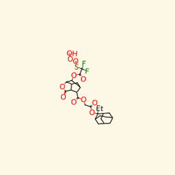 CCC1(OC(=O)COC(=O)C2C3CC4C(OC(=O)C42)C3OC(=O)C(F)(F)SOOO)C2CC3CC(C2)CC1C3